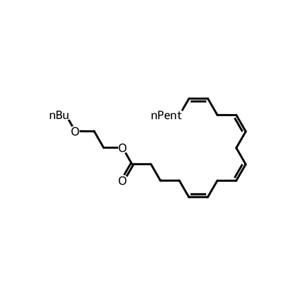 CCCCC/C=C\C/C=C\C/C=C\C/C=C\CCCC(=O)OCCOCCCC